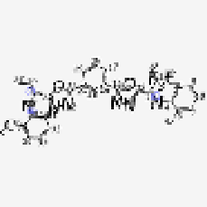 C=C/C(=N\c1c(C)cccc1C(F)(F)F)c1nnc(-c2cccc(-c3nnc(C(=C/C)/N=C4\C(=C)C=CC=C4C(F)(F)F)o3)c2)o1